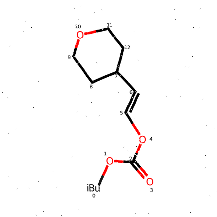 CCC(C)OC(=O)OC=CC1CCOCC1